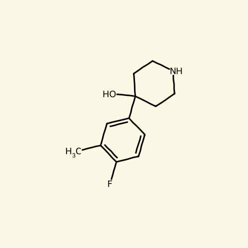 Cc1cc(C2(O)CCNCC2)ccc1F